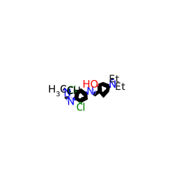 CCN(CC)c1ccc(/C=N/c2cc(Cl)c(/N=C\N(C)C)c(Cl)c2)c(O)c1